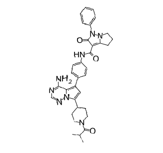 CC(C)C(=O)N1CCC(c2cc(-c3ccc(NC(=O)c4c5n(n(-c6ccccc6)c4=O)CCC5)cc3)c3c(N)ncnn23)CC1